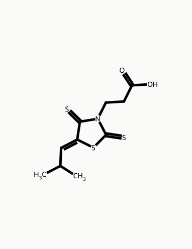 CC(C)/C=C1\SC(=S)N(CCC(=O)O)C1=S